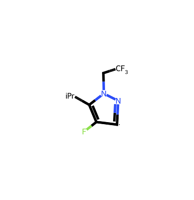 CC(C)c1c(F)[c]nn1CC(F)(F)F